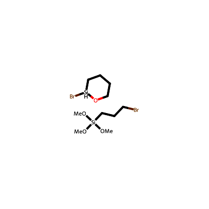 Br[SiH]1CCCCO1.CO[Si](CCCBr)(OC)OC